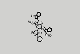 CC(C)C[C@H](NC(=O)N1CCCCCC1)C(=O)N[C@@H](Cc1cn(C=O)c2ccccc12)C(=O)N[C@H](Cc1c[nH]c2ccccc12)C(=O)O